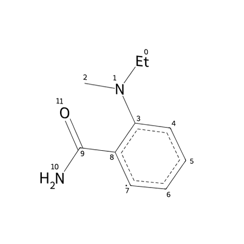 CCN(C)c1ccc[c]c1C(N)=O